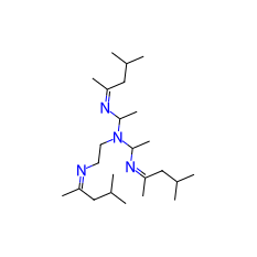 CC(CC(C)C)=NCCN(C(C)N=C(C)CC(C)C)C(C)N=C(C)CC(C)C